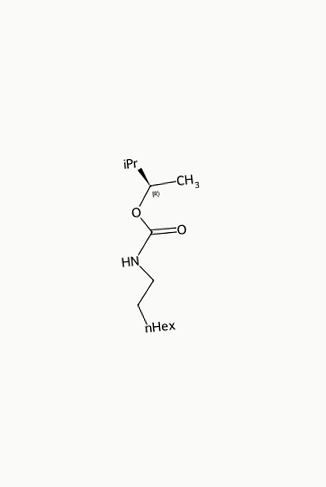 CCCCCCCCNC(=O)O[C@H](C)C(C)C